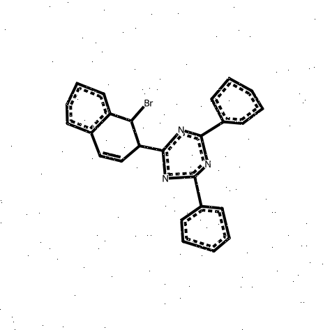 BrC1c2ccccc2C=CC1c1nc(-c2ccccc2)nc(-c2ccccc2)n1